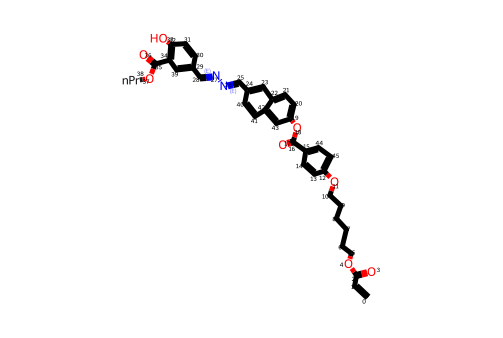 C=CC(=O)OCCCCCCOc1ccc(C(=O)Oc2ccc3cc(/C=N/N=C/c4ccc(O)c(C(=O)OCCC)c4)ccc3c2)cc1